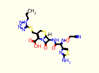 C=CCn1nnnc1SCC1=C(C(=O)O)N2C(=O)C(NC(=O)C(=NOCC#N)c3csc(N)n3)[C@@H]2SC1